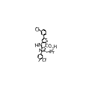 Cc1ccc(-c2nc(Nc3cc(-c4cccc(Cl)c4)sc3C(=O)O)sc2CC(C)C)cc1Cl